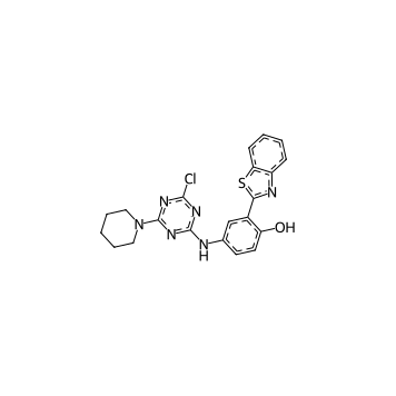 Oc1ccc(Nc2nc(Cl)nc(N3CCCCC3)n2)cc1-c1nc2ccccc2s1